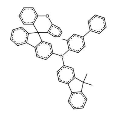 Cc1cc(-c2ccccc2)ccc1N(c1ccc2c(c1)C(C)(C)c1ccccc1-2)c1ccc2c(c1)C1(c3ccccc3Oc3ccccc31)c1ccccc1-2